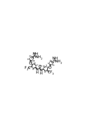 N=C(N)N1CC[C@@H](Oc2ccc(NC(=O)Nc3ccc(O[C@@H]4CCN(C(=N)N)C4)c(C(F)(F)F)c3)cc2C(F)(F)F)C1